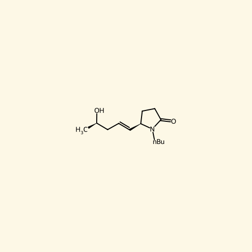 CCCCN1C(=O)CC[C@@H]1/C=C/C[C@@H](C)O